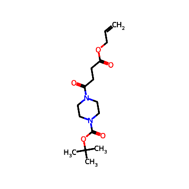 C=CCOC(=O)CCC(=O)N1CCN(C(=O)OC(C)(C)C)CC1